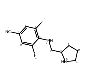 N#Cc1cc(F)c(NCC2CCCN2)c(F)c1